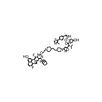 C#Cc1c(F)ccc2cc(O)cc(-c3ncc4c(N5CC6CCC(C5)N6)nc(OCCN5CCC(CCC6CCN(c7cc([C@H](C(=O)N8C[C@H](O)C[C@H]8C(=O)N[C@@H](C)c8ccc(-c9scnc9C)cc8)C(C)C)on7)CC6)CC5)nc4c3F)c12